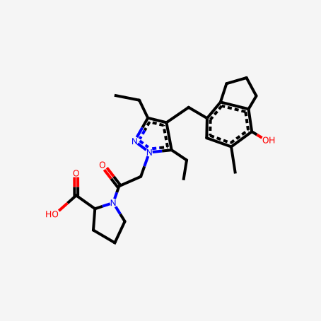 CCc1nn(CC(=O)N2CCCC2C(=O)O)c(CC)c1Cc1cc(C)c(O)c2c1CCC2